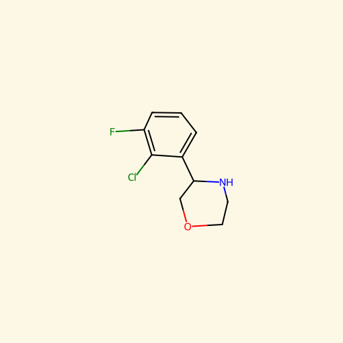 Fc1cccc(C2COCCN2)c1Cl